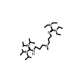 CCN(CC)C(=NCCCN(C)CCCNC(N(C(C)C)C(C)C)=[N+](C(C)C)C(C)C)N(CC)CC